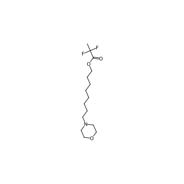 CC(F)(F)C(=O)OCCCCCCCCN1CCOCC1